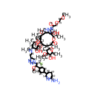 CC[C@H]1OC(=O)[C@H](C)C([C@H]2C[C@@](C)(OC)[C@@H](O)[C@H](C)O2)[C@H](C)[C@@H](O[C@@H]2O[C@H](C)C[C@H](N(C)CCC3CN([C@H](CF)[C@H](OC)c4ccc(C5=CCC=C(N)N=C5)cc4)N=N3)[C@H]2O)[C@](C)(OC)C[C@@H](C)C(=O)[C@H](C)[C@@H](NNC(=O)COCCOC)[C@]1(C)O